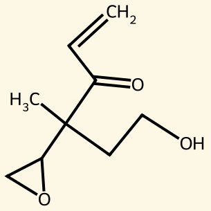 C=CC(=O)C(C)(CCO)C1CO1